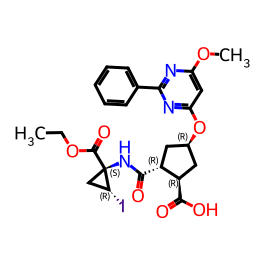 CCOC(=O)[C@@]1(NC(=O)[C@@H]2C[C@@H](Oc3cc(OC)nc(-c4ccccc4)n3)C[C@H]2C(=O)O)C[C@H]1I